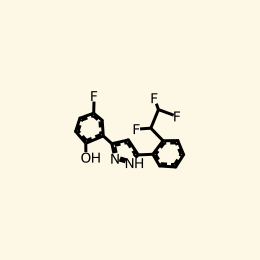 Oc1ccc(F)cc1-c1cc(-c2ccccc2C(F)C(F)F)[nH]n1